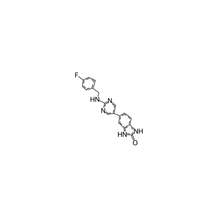 O=c1[nH]c2ccc(-c3cnc(NCc4ccc(F)cc4)nc3)cc2[nH]1